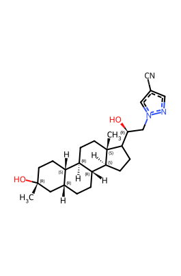 C[C@@]1(O)CC[C@H]2[C@H](CC[C@@H]3[C@@H]2CC[C@]2(C)C([C@@H](O)Cn4cc(C#N)cn4)CC[C@@H]32)C1